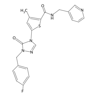 Cc1cc(-n2cnn(Cc3ccc(F)cc3)c2=O)sc1C(=O)NCc1cccnc1